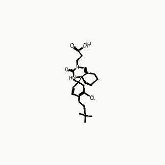 CC(C)(C)CCC1=C(Cl)CC(C)([C@]23CCCCC2=CN(CCC(=O)O)C(=O)N3)C=C1